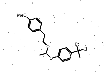 CCC(C)(Cl)c1ccc(OC(C)OCCc2ccc(OC)cc2)cc1